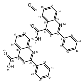 C=O.O=C(O)c1cc(-c2ccccc2)nc2ccccc12.O=C(O)c1cc(-c2ccccc2)nc2ccccc12